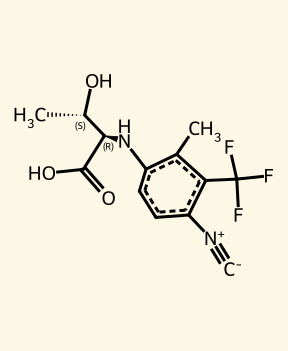 [C-]#[N+]c1ccc(N[C@@H](C(=O)O)[C@H](C)O)c(C)c1C(F)(F)F